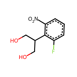 O=[N+]([O-])c1cccc(F)c1C(CO)CO